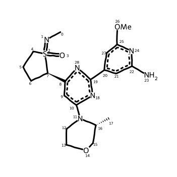 CN=S1(=O)CCC[C@@H]1c1cc(N2CCOC[C@H]2C)nc(-c2cc(N)nc(OC)c2)n1